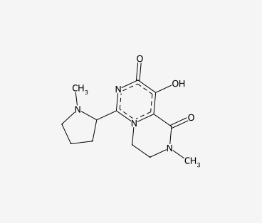 CN1CCn2c(C3CCCN3C)nc(=O)c(O)c2C1=O